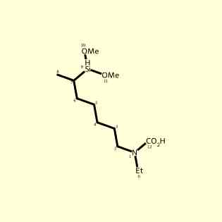 CCN(CCCCCC(C)[SiH](OC)OC)C(=O)O